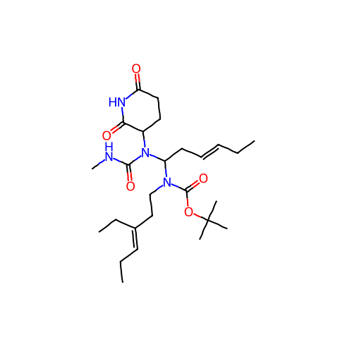 CC/C=C/CC(N(CC/C(=C/CC)CC)C(=O)OC(C)(C)C)N(C(=O)NC)C1CCC(=O)NC1=O